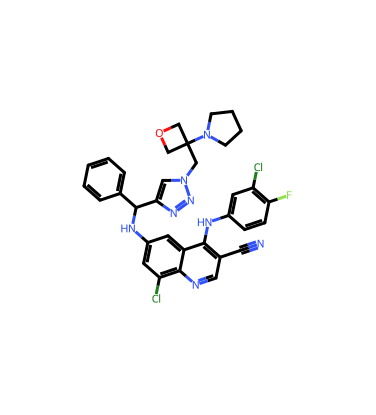 N#Cc1cnc2c(Cl)cc(NC(c3ccccc3)c3cn(CC4(N5CCCC5)COC4)nn3)cc2c1Nc1ccc(F)c(Cl)c1